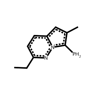 CCc1ccc2cc(C)c(P)n2n1